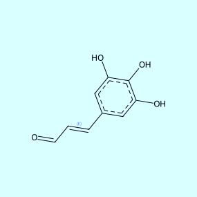 O=C/C=C/c1cc(O)c(O)c(O)c1